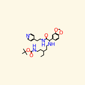 CCC(CCNC(=O)OC(C)(C)C)CCNC(C(=O)NCCc1ccncc1)c1ccc2c(c1)OCO2